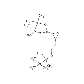 CC1(C)OB(C2CC2CCO[Si](C)(C)C(C)(C)C)OC1(C)C